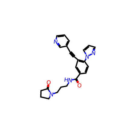 O=C(NCCCN1CCCC1=O)c1ccc(-n2cccn2)c(C#Cc2cccnc2)c1